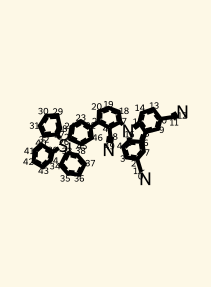 N#Cc1ccc2c(c1)c1cc(C#N)ccc1n2-c1cccc(-c2ccc([Si](c3ccccc3)(c3ccccc3)c3ccccc3)cc2)c1C#N